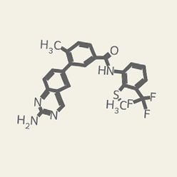 CSc1c(NC(=O)c2ccc(C)c(-c3ccc4nc(N)ncc4c3)c2)cccc1C(F)(F)F